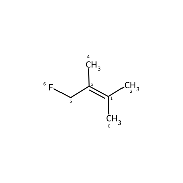 CC(C)=C(C)CF